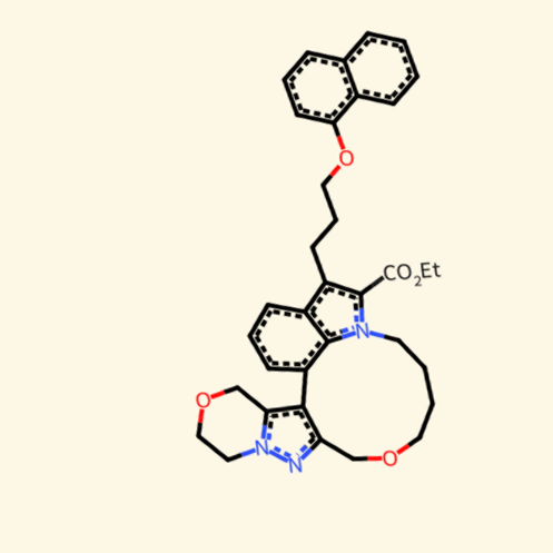 CCOC(=O)c1c(CCCOc2cccc3ccccc23)c2cccc3c2n1CCCCOCc1nn2c(c1-3)COCC2